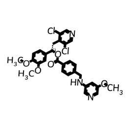 COc1cncc(NCc2ccc(C(=O)O[C@@H](Cc3c(Cl)cncc3Cl)c3ccc(OC)c(OC)c3)cc2)c1